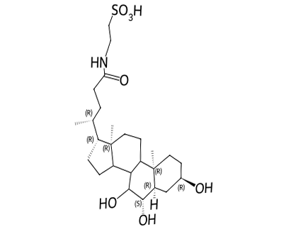 C[C@H](CCC(=O)NCCS(=O)(=O)O)[C@H]1CCC2C3C(O)[C@@H](O)[C@@H]4C[C@H](O)CC[C@]4(C)C3CC[C@@]21C